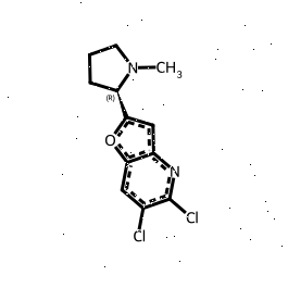 CN1CCC[C@@H]1c1cc2nc(Cl)c(Cl)cc2o1